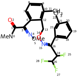 CNC(=O)/C(=N/OC)c1cccc(C)c1CO/N=C(\c1cccc(C(F)(F)F)c1)C(F)C(F)F